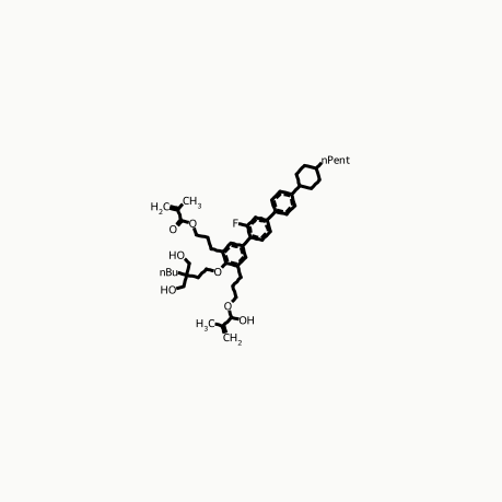 C=C(C)C(=O)OCCCc1cc(-c2ccc(-c3ccc(C4CCC(CCCCC)CC4)cc3)cc2F)cc(CCCOC(O)C(=C)C)c1OCCC(CO)(CO)CCCC